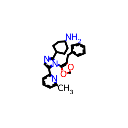 Cc1cccc(-c2cnc(C3CCC(N)CC3)n2C2=C(Cc3ccccc3)OCO2)n1